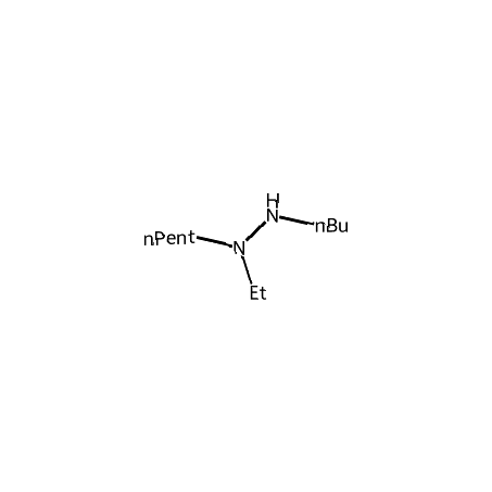 CCCCCN(CC)NCCCC